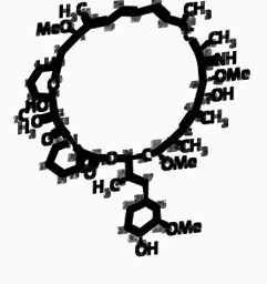 CO[C@H]1C[C@@H]2CC[C@@H](C)[C@@](O)(O2)C(=O)C(=O)N2CCCC[C@H]2C(=O)O[C@H]([C@H](C)C[C@@H]2CC[C@@H](O)[C@H](OC)C2)C[C@@H](OC)[C@H](C)/C=C(\C)[C@@H](O)[C@@H](OC)C(=N)[C@H](C)C[C@H](C)/C=C/C=C/C=C/1C